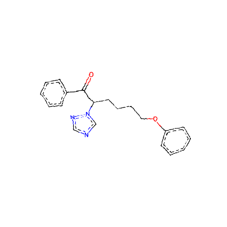 O=C(c1ccccc1)C(CCCCOc1ccccc1)n1cncn1